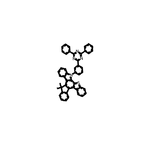 CC1(C)c2ccccc2-c2c1c1c3ccccc3n(-c3cccc(-c4nc(-c5ccccc5)nc(-c5ccccc5)n4)c3)c1c1sc3ccccc3c21